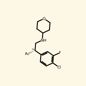 CC(=O)[C@H](CNC1CCOCC1)c1ccc(Cl)c(F)c1